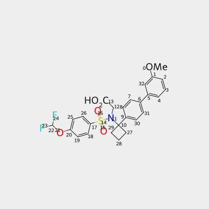 COc1cccc(-c2ccc(C3(N(CC(=O)O)S(=O)(=O)c4ccc(OC(F)F)cc4)CCC3)cc2)c1